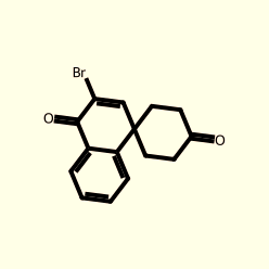 O=C1CCC2(C=C(Br)C(=O)c3ccccc32)CC1